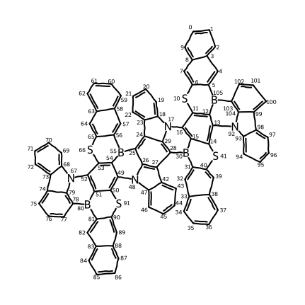 c1ccc2cc3c(cc2c1)Sc1c2c(c4c5c1-n1c6ccccc6c6c7c8c(c(c61)B5c1cc5ccccc5cc1S4)c1ccccc1n8-c1c4c5c(c6c1B7c1cc7ccccc7cc1S6)-n1c6ccccc6c6cccc(c61)B5c1cc5ccccc5cc1S4)-n1c4ccccc4c4cccc(c41)B32